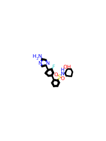 Nc1cnc(-c2ccc(-c3ccccc3S(=O)(=O)NC3CCCCC3O)cc2F)cn1